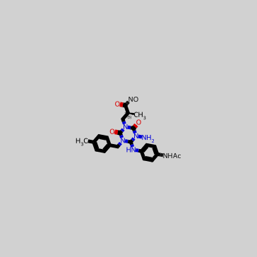 CC(=O)Nc1ccc(NC2N(N)C(=O)N(C[C@H](C)C(=O)N=O)C(=O)N2Cc2ccc(C)cc2)cc1